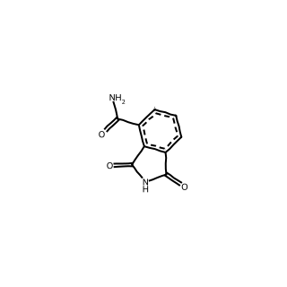 NC(=O)c1[c]ccc2c1C(=O)NC2=O